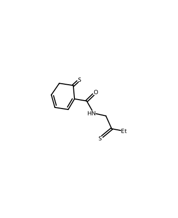 CCC(=S)CNC(=O)C1=CC=CCC1=S